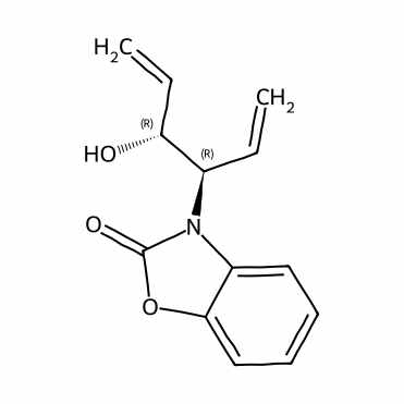 C=C[C@@H](O)[C@@H](C=C)n1c(=O)oc2ccccc21